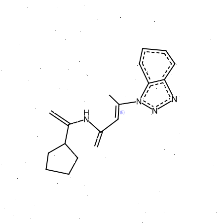 C=C(/C=C(\C)n1nnc2ccccc21)NC(=C)C1CCCC1